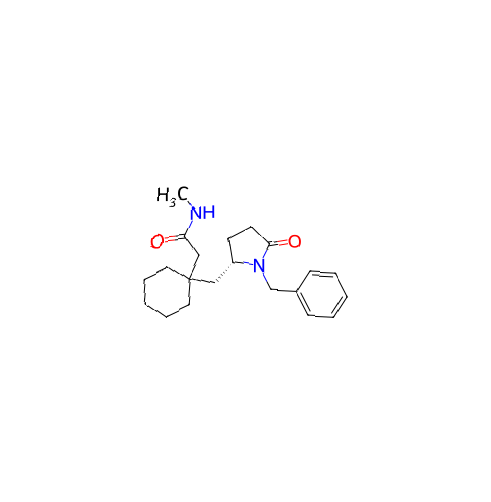 CNC(=O)CC1(C[C@@H]2CCC(=O)N2Cc2ccccc2)CCCCC1